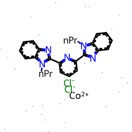 CCCn1c(-c2cccc(-c3nc4ccccc4n3CCC)n2)nc2ccccc21.[Cl-].[Cl-].[Co+2]